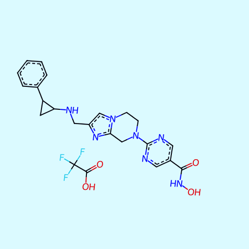 O=C(NO)c1cnc(N2CCn3cc(CNC4CC4c4ccccc4)nc3C2)nc1.O=C(O)C(F)(F)F